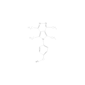 CCCOc1ccc(-n2c(C)c3c(C)nnc(C)c3c2C)cc1